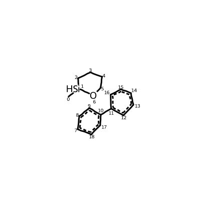 C[SiH]1CCCCO1.c1ccc(-c2ccccc2)cc1